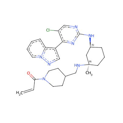 C=CC(=O)N1CCC(CN[C@]2(C)CCC[C@H](Nc3ncc(Cl)c(-c4cnn5ccccc45)n3)C2)CC1